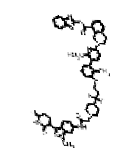 Cc1c(OCCC(F)(F)C2CCN(CC(=O)Nc3ccc4c(C5CCC(=O)NC5=O)nn(C)c4c3)CC2)cccc1-c1ccc(N2CCc3cccc(C(=O)Nc4nc5ccccc5s4)c3C2)nc1C(=O)O